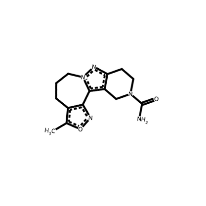 Cc1onc2c1CCCn1nc3c(c1-2)CN(C(N)=O)CC3